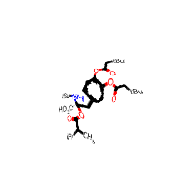 CCC(C)N[C@@](Cc1ccc(OC(=O)CC(C)(C)C)c(OC(=O)CC(C)(C)C)c1)(OC(=O)C(C)C(C)C)C(=O)O